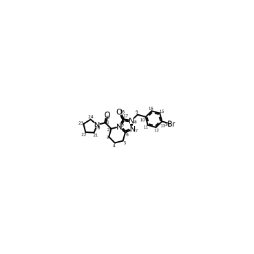 O=C(C1CCCc2nn(Cc3ccc(Br)cc3)c(=O)n21)N1CCCC1